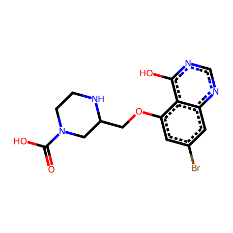 O=C(O)N1CCNC(COc2cc(Br)cc3ncnc(O)c23)C1